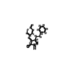 C=C\C=C/C(=C\C)/C=C1/C(=O)NN=C1CCc1ccccc1